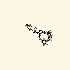 O=C(CN1CCNCC1)Nc1ccc2cc1CCc1cccc(c1)Nc1ncc(Cl)c(n1)N2